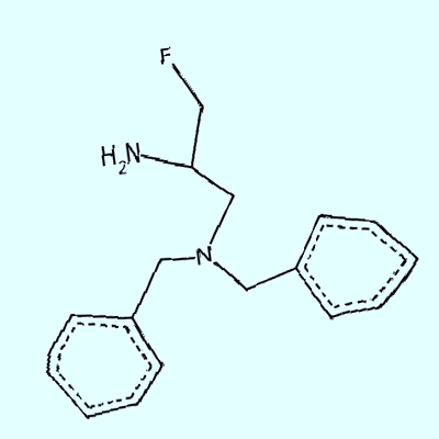 NC(CF)CN(Cc1ccccc1)Cc1ccccc1